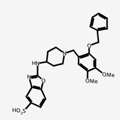 COc1cc(CN2CCC(Nc3nc4cc(S(=O)(=O)O)ccc4o3)CC2)c(OCc2ccccc2)cc1OC